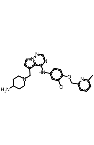 Cc1cccc(COc2ccc(Nc3ncnn4ccc(CN5CCC(N)CC5)c34)cc2Cl)n1